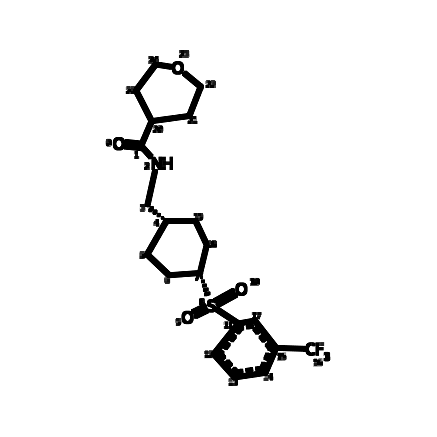 O=C(NC[C@H]1CC[C@@H](S(=O)(=O)c2cccc(C(F)(F)F)c2)CC1)C1CCOCC1